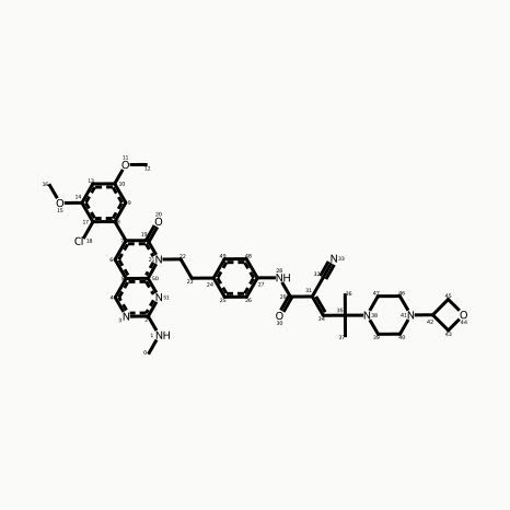 CNc1ncc2cc(-c3cc(OC)cc(OC)c3Cl)c(=O)n(CCc3ccc(NC(=O)C(C#N)=CC(C)(C)N4CCN(C5COC5)CC4)cc3)c2n1